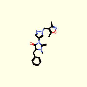 C=C1N(c2cnn(Cc3c(C)noc3C)c2)C(=O)C(Cc2ccccc2)N1C